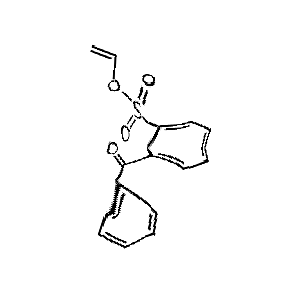 C=COS(=O)(=O)c1ccccc1C(=O)c1ccccc1